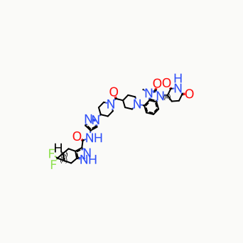 Cn1c(=O)n([C@@H]2CCC(=O)NC2=O)c2cccc(N3CCC(C(=O)N4CCC(n5cc(NC(=O)c6n[nH]c7c6C[C@@H]6C(F)(F)[C@]6(C)C7)cn5)CC4)CC3)c21